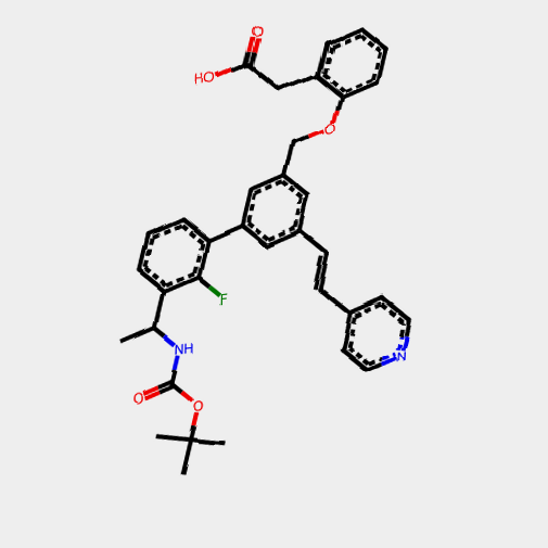 CC(NC(=O)OC(C)(C)C)c1cccc(-c2cc(C=Cc3ccncc3)cc(COc3ccccc3CC(=O)O)c2)c1F